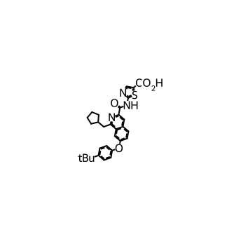 CC(C)(C)c1ccc(Oc2ccc3cc(C(=O)Nc4ncc(C(=O)O)s4)nc(CC4CCCC4)c3c2)cc1